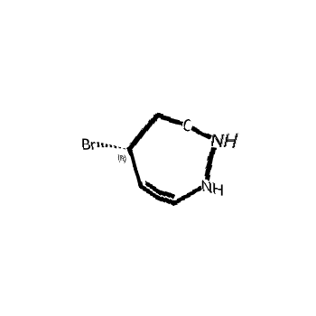 Br[C@H]1C=CNNCC1